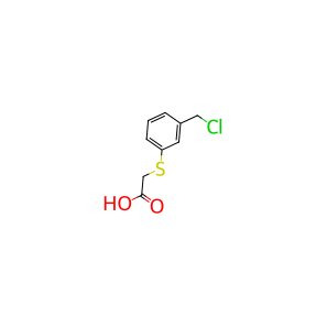 O=C(O)CSc1cccc(CCl)c1